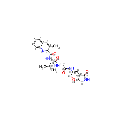 Cc1cc2ccccc2nc1C(=O)N[C@H](C(=O)NCC(=O)N[C@H](C=O)C[C@@H]1CCNC1=O)C(C)C